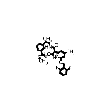 COC(=O)c1cccc(C(C)CNC(=O)c2c(C)nn3c(OCc4c(F)cccc4F)cc(C)cc23)c1